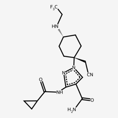 N#CC[C@]1(n2cc(C(N)=O)c(NC(=O)C3CC3)n2)CC[C@@H](NCC(F)(F)F)CC1